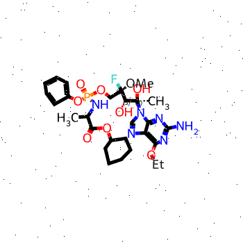 CCOc1nc(N)nc2c1ncn2[C@](C)(O)[C@H](O)[C@@](F)(COP(=O)(NC(C)C(=O)OC1CCCCC1)Oc1ccccc1)OC